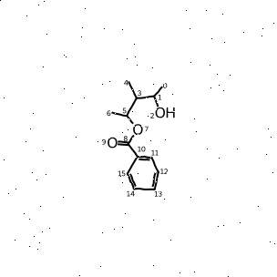 CC(O)C(C)C(C)OC(=O)c1ccccc1